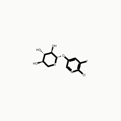 O[C@@H]1[C@@H](O)[C@H](Oc2cnc(Cl)c(F)c2)SC[C@H]1O